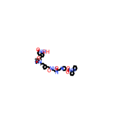 C[C@@H](Cc1cccc(CC(=O)NCCCN(C)C(=O)CCN2CCC(OC(=O)Nc3ccccc3-c3ccccc3)CC2)c1)NC[C@@H](O[Si](C)(C)C(C)(C)C)c1ccc(O)c2[nH]c(=O)ccc12